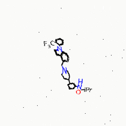 CC(C)C(=O)Nc1cccc(C2CCN(Cc3cccc4c3ccn4-c3ccccc3C(F)(F)F)CC2)c1